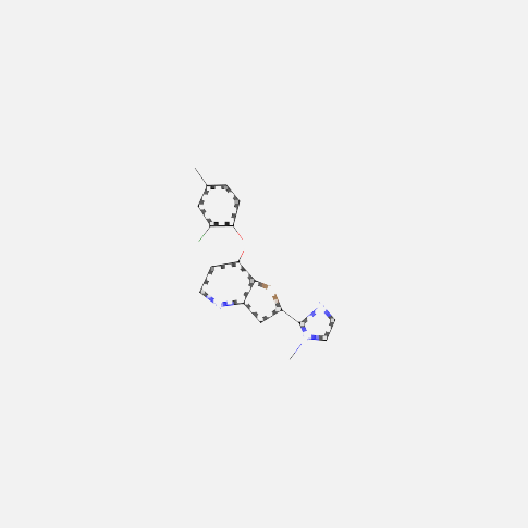 Cc1ccc(Oc2ccnc3cc(-c4nccn4C)sc23)c(F)c1